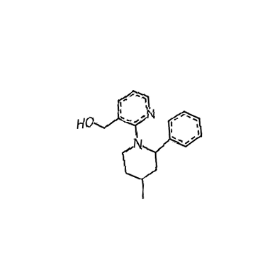 CC1CCN(c2ncccc2CO)C(c2ccccc2)C1